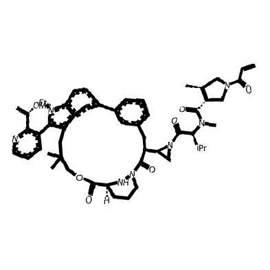 C=CC(=O)N1C[C@H](C(=O)N(C)[C@H](C(=O)N2CC2C2Cc3cccc(c3)-c3ccc4c(c3)c(c(-c3cccnc3[C@H](C)OC)n4CC)CC(C)(C)COC(=O)[C@@H]3CCCN(N3)C2=O)C(C)C)[C@@H](C)C1